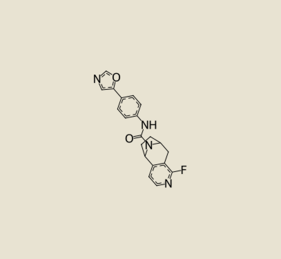 O=C(Nc1ccc(-c2cnco2)cc1)N1C2CCC1c1ccnc(F)c1C2